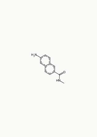 CNC(=O)c1ccc2cc(N)ccc2c1